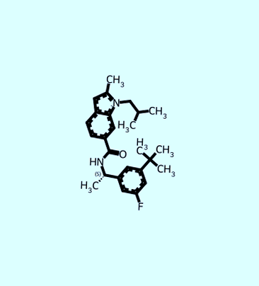 Cc1cc2ccc(C(=O)N[C@@H](C)c3cc(F)cc(C(C)(C)C)c3)cc2n1CC(C)C